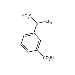 CCOC(=O)c1cccc(N(C(F)(F)F)S(=O)(=O)O)c1